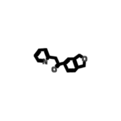 O=C(Cc1ccccn1)c1ccc2c(c1)COC2